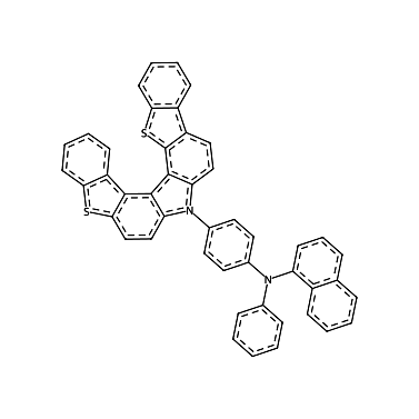 c1ccc(N(c2ccc(-n3c4ccc5c6ccccc6sc5c4c4c5c(ccc43)sc3ccccc35)cc2)c2cccc3ccccc23)cc1